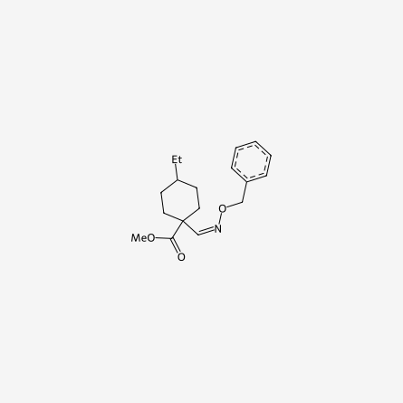 CCC1CCC(/C=N\OCc2ccccc2)(C(=O)OC)CC1